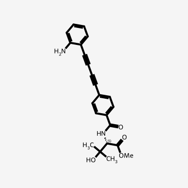 COC(=O)[C@@H](NC(=O)c1ccc(C#CC#Cc2ccccc2N)cc1)C(C)(C)O